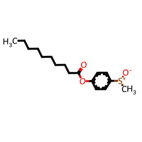 CCCCCCCCCC(=O)Oc1ccc([S+](C)[O-])cc1